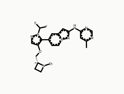 CCN1CC[C@@H]1COc1cnn(C(F)F)c1-c1ccn2nc(Nc3cc(C)ncn3)cc2c1